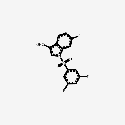 O=Cc1cn(S(=O)(=O)c2cc(F)cc(F)c2)c2cc(Cl)ccc12